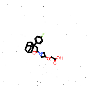 O=C(O)COC1CN(C(=O)CC2(c3ccc(F)cc3)C3CC4CC(C3)CC2C4)C1